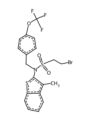 Cc1c(N(Cc2ccc(OC(F)(F)F)cc2)S(=O)(=O)CCBr)sc2ccccc12